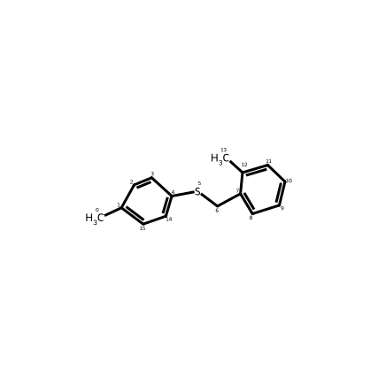 Cc1ccc(SCc2ccccc2C)cc1